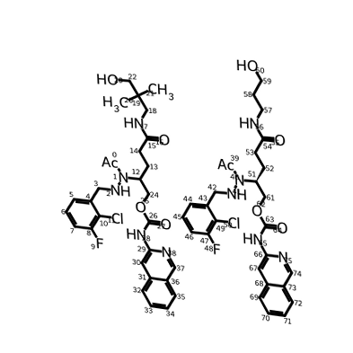 CC(=O)N(NCc1cccc(F)c1Cl)C(CCC(=O)NCC(C)(C)CO)COC(=O)Nc1cc2ccccc2cn1.CC(=O)N(NCc1cccc(F)c1Cl)[C@@H](CCC(=O)NCCCO)COC(=O)Nc1cc2ccccc2cn1